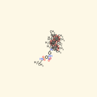 CCCC[Si](C)(C)O[Si](C)(C)O[Si](C)(C)O[Si](C)(C)O[Si](C)(C)O[Si](C)(C)O[Si](C)(C)O[Si](C)(C)O[Si](C)(C)O[Si](C)(C)O[Si](C)(C)O[Si](C)(C)O[Si](C)(C)CCCN(C)Cc1ccc(Nc2ccc(S(=O)(=O)NCCCC(C)C)cc2[N+](=O)[O-])cc1